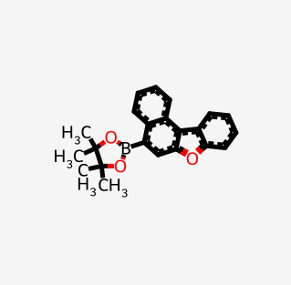 CC1(C)OB(c2cc3oc4ccccc4c3c3ccccc23)OC1(C)C